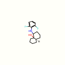 O[C@]12CCCC[C@@H]1CCCC2Nc1c(F)cccc1F